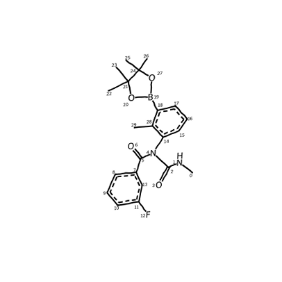 CNC(=O)N(C(=O)c1cccc(F)c1)c1cccc(B2OC(C)(C)C(C)(C)O2)c1C